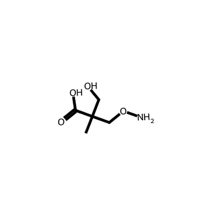 CC(CO)(CON)C(=O)O